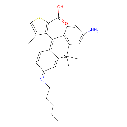 CCCCC/N=C1/C=CC2=C(c3c(C)csc3C(=O)O)c3ccc(N)cc3[Si](C)(C)C2=C1